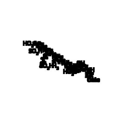 COc1ccc(Nc2ccc3c(O)c(N=Nc4ccc(N=Nc5ccc(N=Nc6ccc(N=Nc7ccc(S(=O)(=O)O)cc7S(=O)(=O)O)c(OCCCCS(=O)(=O)O)c6)c(C)c5)cc4OC)c(S(=O)(=O)O)cc3c2)cc1